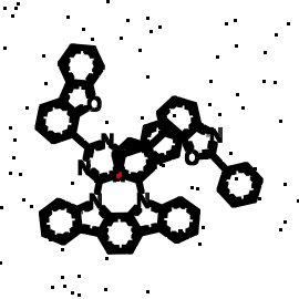 c1ccc(-c2nc(-c3cccc4c3oc3ccccc34)nc(-n3c4ccccc4c4ccc5c6ccccc6n(-c6cccc(-c7cccc8nc(-c9ccccc9)oc78)c6)c5c43)n2)cc1